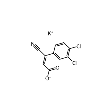 N#C/C(=C/C(=O)[O-])c1ccc(Cl)c(Cl)c1.[K+]